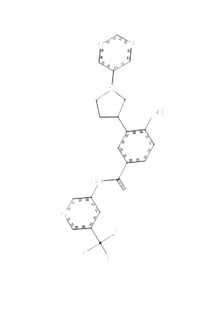 O=C(Nc1cncc(C(F)(F)F)c1)c1ccc(O)c(C2CCN(c3cncnc3)C2)c1